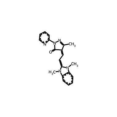 CC1=NN(c2ccccn2)C(=O)C1=CC=C1N(C)c2ccccc2N1C